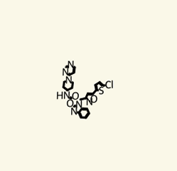 O=C(NC1CCN(c2ccncn2)CC1)Oc1nc2ccccc2n1Cc1cc(-c2ccc(Cl)s2)on1